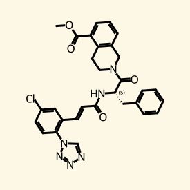 COC(=O)c1cccc2c1CCN(C(=O)[C@H](Cc1ccccc1)NC(=O)C=Cc1cc(Cl)ccc1-n1cnnn1)C2